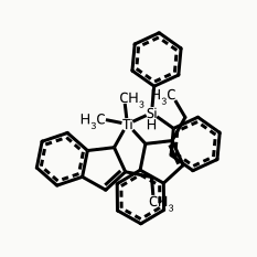 CCC1=Cc2ccccc2[CH]1[Ti]([CH3])([CH3])([CH]1C(CC)=Cc2ccccc21)[SiH](c1ccccc1)c1ccccc1